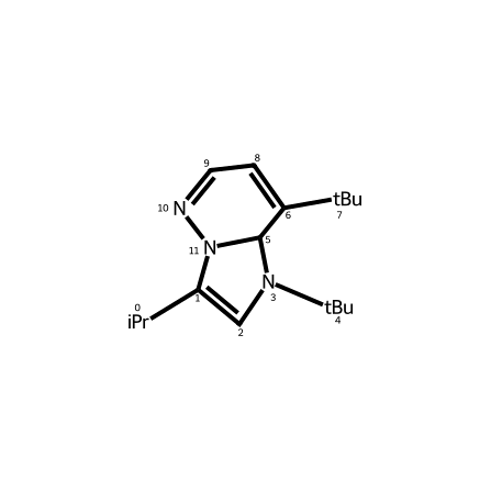 CC(C)C1=CN(C(C)(C)C)C2C(C(C)(C)C)=CC=NN12